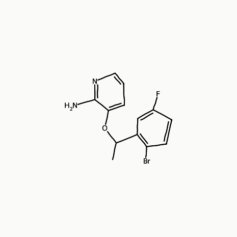 CC(Oc1cccnc1N)c1cc(F)ccc1Br